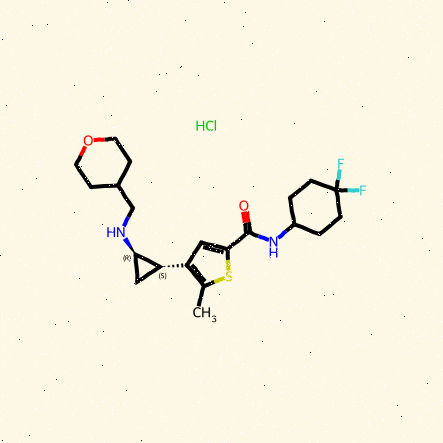 Cc1sc(C(=O)NC2CCC(F)(F)CC2)cc1[C@@H]1C[C@H]1NCC1CCOCC1.Cl